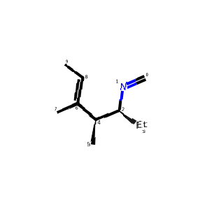 C=N[C@@H](CC)[C@@H](C)/C(C)=C/C